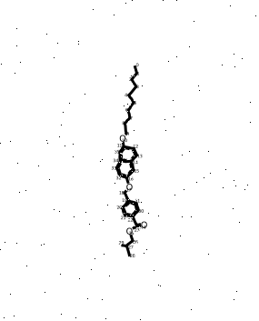 CCCCCCCCCCOc1ccc2cc(OCc3ccc(C(=O)OCC(C)C)cc3)ccc2c1